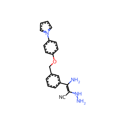 N#C/C(NN)=C(/N)c1cccc(COc2ccc(-n3cccc3)cc2)c1